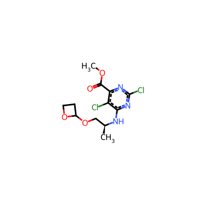 COC(=O)c1nc(Cl)nc(N[C@@H](C)COC2CCO2)c1Cl